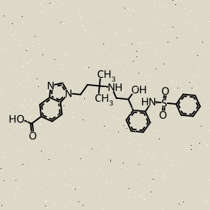 CC(C)(CCn1cnc2cc(C(=O)O)ccc21)NCC(O)c1ccccc1NS(=O)(=O)c1ccccc1